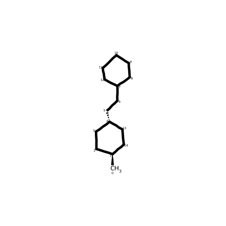 C[C@H]1CC[C@H](CCC2CC[CH]CC2)CC1